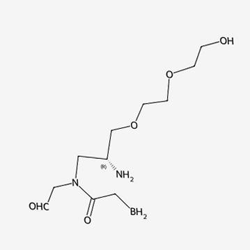 BCC(=O)N(CC=O)C[C@@H](N)COCCOCCO